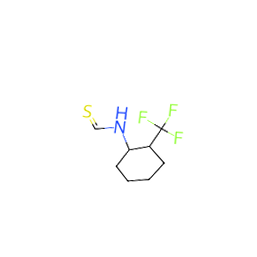 FC(F)(F)C1CCCCC1NC=S